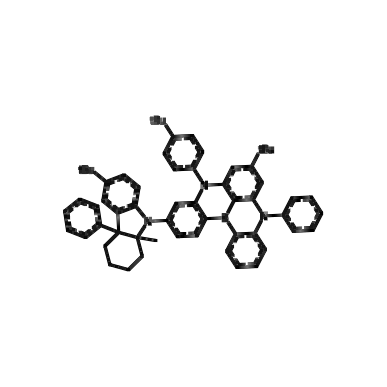 CC(C)(C)c1ccc(N2c3cc(N4c5ccc(C(C)(C)C)cc5C5(c6ccccc6)CCCCC45C)ccc3B3c4ccccc4N(c4ccccc4)c4cc(C(C)(C)C)cc2c43)cc1